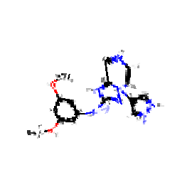 COc1cc(NC2=N[N+]3(c4cn[nH]c4)C=CN=CC3=N2)cc(OC)c1